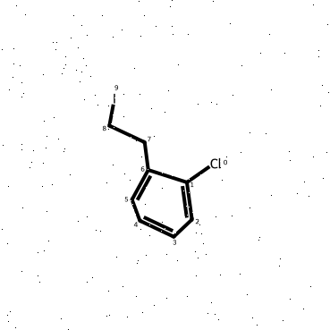 Clc1ccccc1CCI